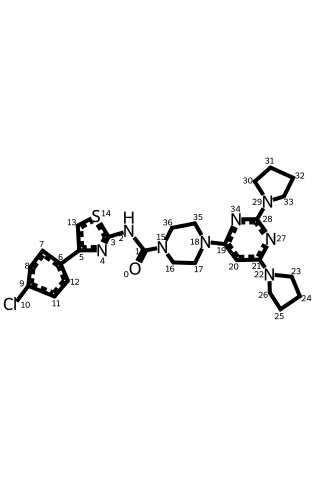 O=C(Nc1nc(-c2ccc(Cl)cc2)cs1)N1CCN(c2cc(N3CCCC3)nc(N3CCCC3)n2)CC1